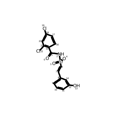 O=C(NS(=O)(=O)/C=C/c1cccc(O)c1)c1ccc(Cl)cc1Cl